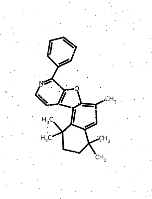 Cc1cc2c(c3c1oc1c(-c4ccccc4)nccc13)C(C)(C)CCC2(C)C